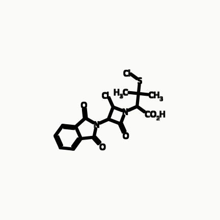 CC(C)(SCl)C(C(=O)O)N1C(=O)C(N2C(=O)c3ccccc3C2=O)C1Cl